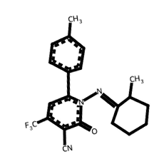 Cc1ccc(-c2cc(C(F)(F)F)c(C#N)c(=O)n2N=C2CCCCC2C)cc1